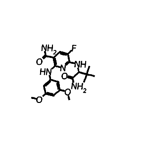 COc1cc(Nc2nc(N[C@H](C(N)=O)C(C)(C)C)c(F)cc2C(N)=O)cc(OC)c1